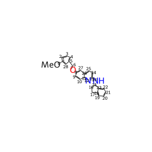 COc1cccc(COc2ccc3nc(NC4CCc5ccccc54)ccc3c2)c1